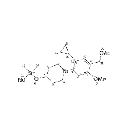 COc1cc(N2CCC(O[Si](C)(C)C(C)(C)C)CC2)c(C2CC2)cc1COC(C)=O